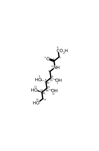 O=C(O)CC(=O)NC[C@H](O)[C@@H](O)[C@H](O)[C@H](O)CO